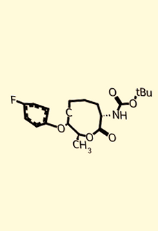 C[C@@H]1OC(=O)[C@@H](NC(=O)OC(C)(C)C)CCCC[C@H]1Oc1ccc(F)cc1